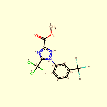 COC(=O)c1nc(C(Cl)(Cl)Cl)n(-c2cccc(C(F)(F)F)c2)n1